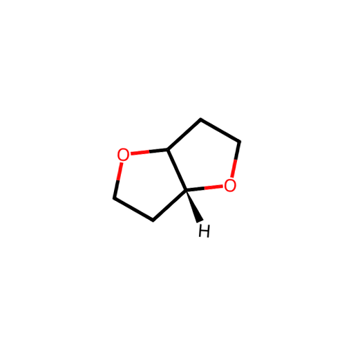 C1C[C@H]2OCCC2O1